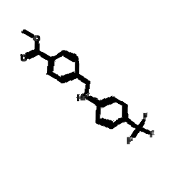 COC(=O)c1ccc(CNc2ccc(C(F)(F)F)cc2)cc1